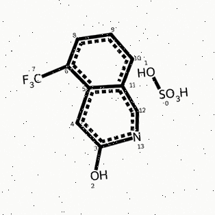 O=S(=O)(O)O.Oc1cc2c(C(F)(F)F)cccc2cn1